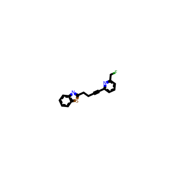 FCc1cccc(C#CCCc2nc3ccccc3s2)n1